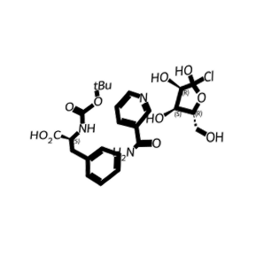 CC(C)(C)OC(=O)N[C@@H](Cc1ccccc1)C(=O)O.NC(=O)c1cccnc1.OC[C@H]1OC(O)(Cl)[C@H](O)[C@@H]1O